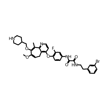 COC1=CCc2c(Oc3ccc(NC(=O)C(=O)NCCc4cccc(Br)c4)cc3F)ccnc2C(C)=C1OCC1CCNCC1